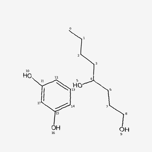 CCCCC(O)CCCO.Oc1cccc(O)c1